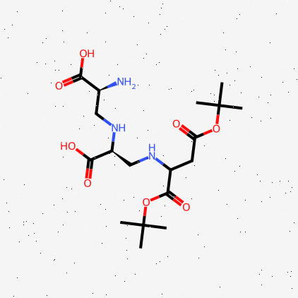 CC(C)(C)OC(=O)CC(NC[C@H](NC[C@H](N)C(=O)O)C(=O)O)C(=O)OC(C)(C)C